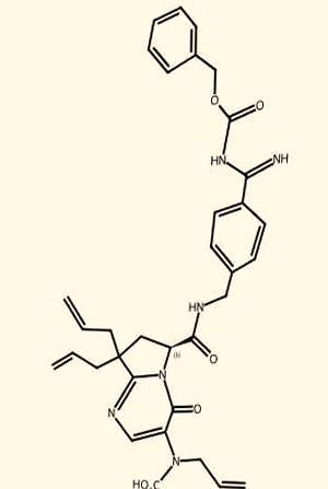 C=CCN(C(=O)O)c1cnc2n(c1=O)[C@H](C(=O)NCc1ccc(C(=N)NC(=O)OCc3ccccc3)cc1)CC2(CC=C)CC=C